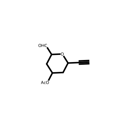 C#CC1CC(OC(C)=O)CC(C=O)O1